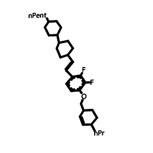 CCCCCC1CCC(C2CCC(/C=C/c3ccc(OCC4C=CC(CCC)CC4)c(F)c3F)CC2)CC1